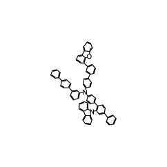 c1ccc(-c2ccc(-c3cccc(N(c4ccc(-c5cccc(-c6cccc7c6oc6ccccc67)c5)cc4)c4ccc(-c5ccc(-c6ccccc6)cc5-n5c6ccccc6c6ccccc65)cc4)c3)cc2)cc1